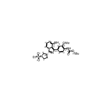 CCS(=O)(=O)N1CC[C@@H](c2nc(-c3ccc(NC(=O)OC(C)(C)C)c(OC)c3)c3c(N)nccn23)C1